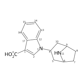 O=C(O)c1cn(C2CC3CCC(C2)N3)c2ccccc12